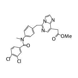 COC(=O)Cc1cnc(Cc2ccc(N(C)C(=O)c3ccc(Cl)c(Cl)c3)cc2)n2ccnc12